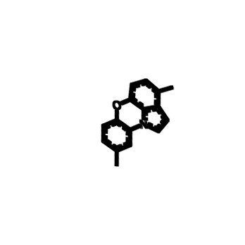 Cc1ccc2c(c1)-n1ccc3c(C)ccc(c31)O2